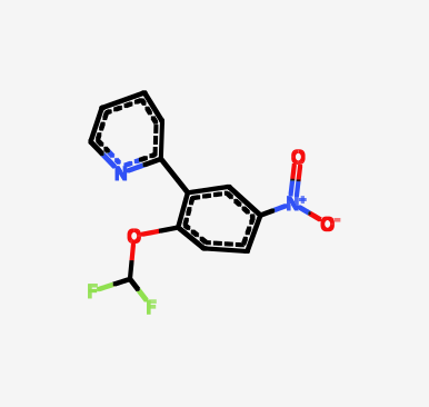 O=[N+]([O-])c1ccc(OC(F)F)c(-c2ccccn2)c1